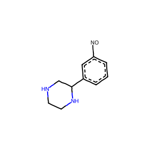 O=Nc1cccc(C2CNCCN2)c1